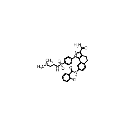 CN(C)CCNS(=O)(=O)c1ccc(-n2nc(C(N)=O)c3c2-c2cc(NC(=O)c4ccccc4Cl)ccc2CC3)cc1